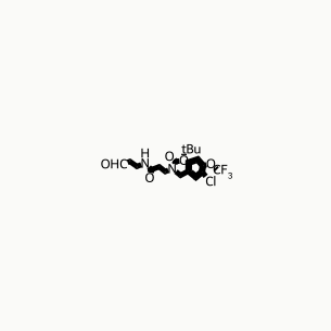 CC(C)(C)OC(=O)N(CCC(=O)NCCC=O)Cc1ccc(OC(F)(F)F)c(Cl)c1